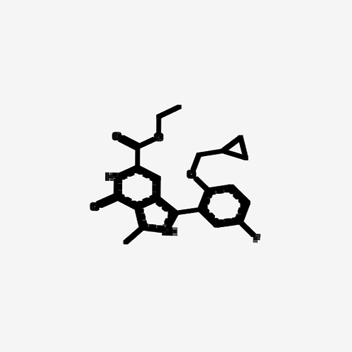 CCOC(=O)c1cc2c(-c3cc(F)ccc3OCC3CC3)[nH]c(C)c2c(=O)[nH]1